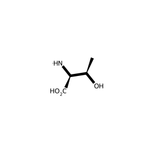 C[C@@H](O)[C@H]([NH])C(=O)O